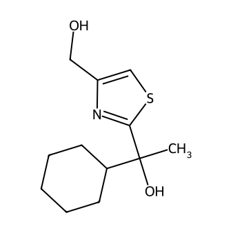 CC(O)(c1nc(CO)cs1)C1CCCCC1